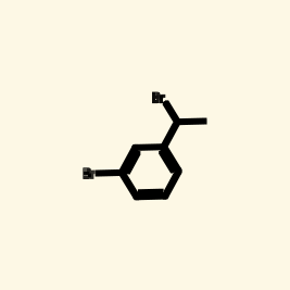 CC(Br)c1cccc(Br)c1